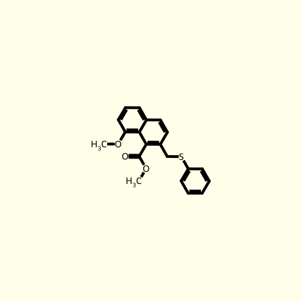 COC(=O)c1c(CSc2ccccc2)ccc2cccc(OC)c12